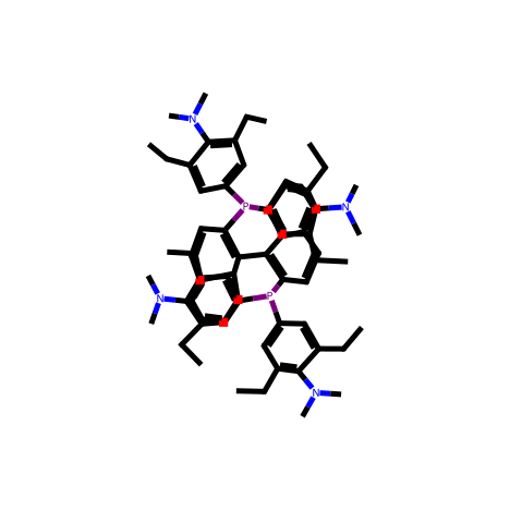 CCc1cc(P(c2cc(CC)c(N(C)C)c(CC)c2)c2ccc3ccccc3c2-c2c(P(c3cc(CC)c(N(C)C)c(CC)c3)c3cc(CC)c(N(C)C)c(CC)c3)ccc3ccccc23)cc(CC)c1N(C)C